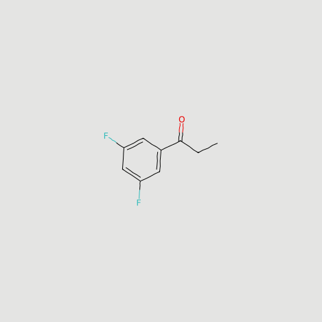 CCC(=O)c1cc(F)cc(F)c1